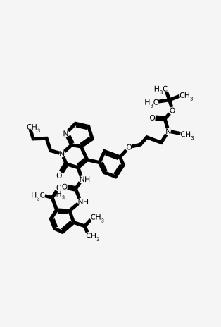 CCCCn1c(=O)c(NC(=O)Nc2c(C(C)C)cccc2C(C)C)c(-c2cccc(OCCCN(C)C(=O)OC(C)(C)C)c2)c2cccnc21